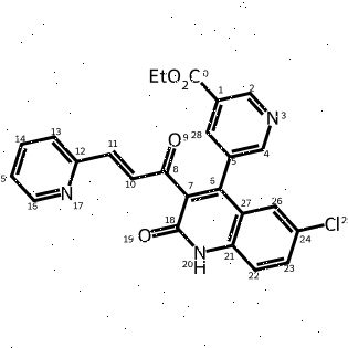 CCOC(=O)c1cncc(-c2c(C(=O)/C=C/c3ccccn3)c(=O)[nH]c3ccc(Cl)cc23)c1